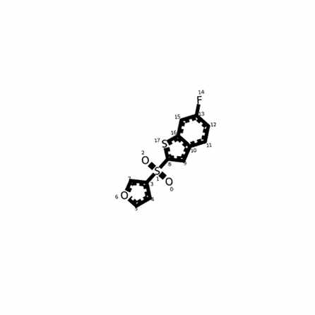 O=S(=O)(c1ccoc1)c1cc2ccc(F)cc2s1